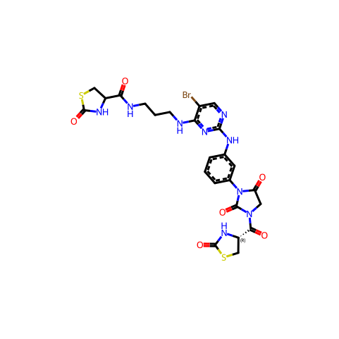 O=C1NC(C(=O)NCCCNc2nc(Nc3cccc(N4C(=O)CN(C(=O)[C@@H]5CSC(=O)N5)C4=O)c3)ncc2Br)CS1